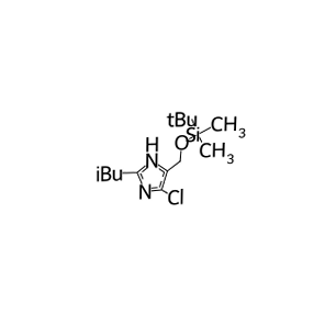 CCC(C)c1nc(Cl)c(CO[Si](C)(C)C(C)(C)C)[nH]1